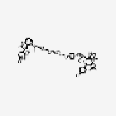 Cc1sc2c(c1C)C(c1ccc(Cl)cc1)=NC(CC(=O)Nc1ccc(OCCOCCOCCOCCNc3cccc4nc(C)n(C5CCC(=O)NC5=O)c(=O)c34)cc1)c1nnc(C)n1-2